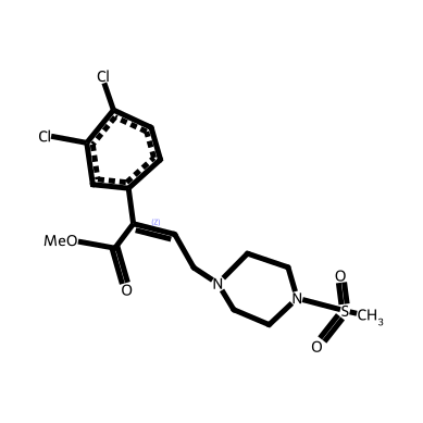 COC(=O)/C(=C\CN1CCN(S(C)(=O)=O)CC1)c1ccc(Cl)c(Cl)c1